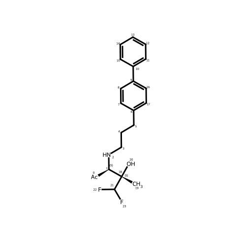 CC(=O)[C@@H](NCCCc1ccc(-c2ccccc2)cc1)[C@](C)(O)C(F)F